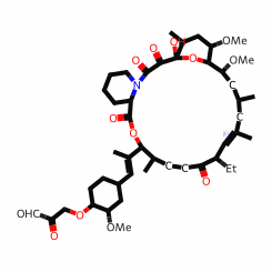 CCC1/C=C(\C)CC(C)CC(OC)C2OC(O)(C(=O)C(=O)N3CCCCC3C(=O)OC(C(C)=CC3CCC(OCC(=O)C=O)C(OC)C3)C(C)CCC1=O)C(C)CC2OC